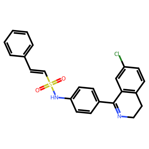 O=S(=O)(/C=C/c1ccccc1)Nc1ccc(C2=NCCc3ccc(Cl)cc32)cc1